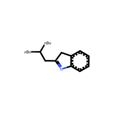 CCCCC(CCCC)CC1=Nc2ccccc2C1